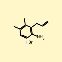 Br.C=CCc1c(N)ccc(C)c1C